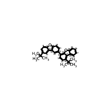 CC(C)(C)c1ccc2oc3ccc(-c4ccc(C(C)(C)C)c5c4oc4ccccc45)cc3c2c1